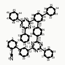 N#Cc1ccccc1-c1cccc(-c2nc(-c3ccccc3)nc(-c3ccc(-c4cc(-c5ccccc5)ccc4-c4nc(-c5ccccc5)nc(-c5ccccc5)n4)cc3)n2)c1